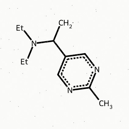 [CH2]C(c1cnc(C)nc1)N(CC)CC